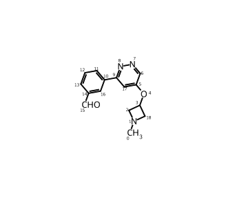 CN1CC(Oc2cnnc(-c3cccc(C=O)c3)c2)C1